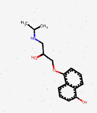 CC(C)NCC(O)COc1cccc2c(O)cccc12